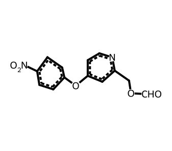 O=COCc1cc(Oc2ccc([N+](=O)[O-])cc2)ccn1